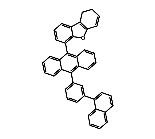 C1=Cc2oc3c(-c4c5ccccc5c(-c5cccc(-c6cccc7ccccc67)c5)c5ccccc45)cccc3c2CC1